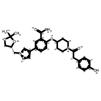 CC1(C)OC[C@@H](Cn2cc(-c3ccc(OC4CCN(C(=O)Cc5ccc(O)cc5)CC4)c(C(N)=O)c3)cn2)O1